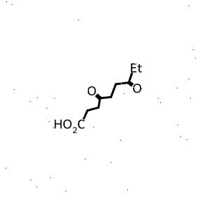 CCC(=O)CCC(=O)CCC(=O)O